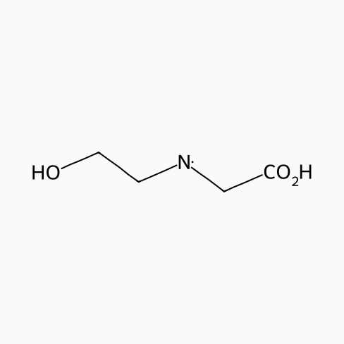 O=C(O)C[N]CCO